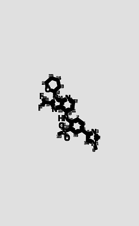 Cn1cnc(-c2ccc(Nc3ccnc4c3nc(C(F)F)n4C3CCCCO3)c(S(C)(=O)=O)c2)c1